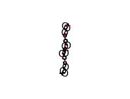 C=C(C)C(=O)OCCOc1ccc(-c2ccc(C(=O)Oc3ccc(OC(=O)c4ccc(-c5ccc(OCCOC(=O)C(=C)C)cc5)cc4)c(C)c3)cc2)cc1